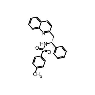 Cc1ccc(S(=O)(=O)N[C@H](Cc2ccc3ccccc3n2)c2ccccc2)cc1